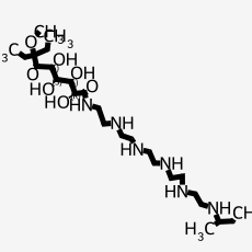 CCC(C)NCCNCCNCCNCCNCCNC(=O)[C@H](O)[C@@H](O)[C@H](O)[C@H](O)C(=O)C(CC)(CC)OC